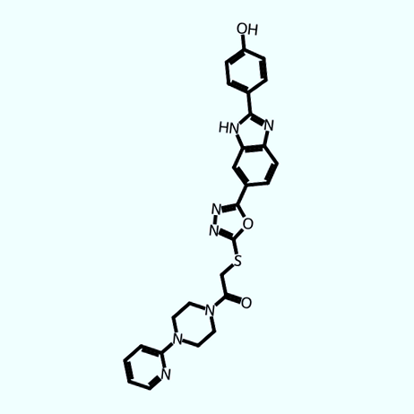 O=C(CSc1nnc(-c2ccc3nc(-c4ccc(O)cc4)[nH]c3c2)o1)N1CCN(c2ccccn2)CC1